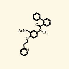 CC(=O)Nc1cc(N(C(=O)c2ccccc2-c2ccccc2)C(F)(F)F)ccc1OCCc1ccccn1